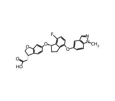 Cn1ncc2cc(Oc3ccc(F)c4c3CC[C@H]4Oc3ccc4c(c3)OC[C@H]4CC(=O)O)ccc21